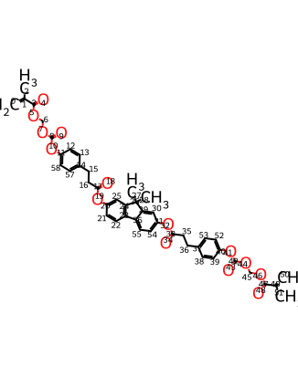 C=C(C)C(=O)OCOC(=O)Oc1ccc(CCC(=O)Oc2ccc3c(c2)C(C)(C)c2cc(OC(=O)CCc4ccc(OC(=O)OCOC(=O)C(=C)C)cc4)ccc2-3)cc1